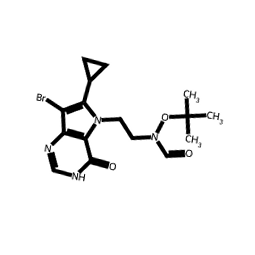 CC(C)(C)ON(C=O)CCn1c(C2CC2)c(Br)c2nc[nH]c(=O)c21